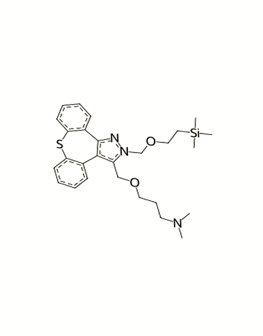 CN(C)CCCOCc1c2c(nn1COCC[Si](C)(C)C)-c1ccccc1Sc1ccccc1-2